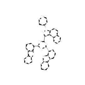 c1ccc2c(c1)ccc1c2c(-c2nc(-c3cccc4c3oc3ccccc34)nc(-c3cccc4c3oc3ccccc34)n2)nn1-c1ccncc1